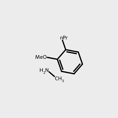 CCCc1ccccc1OC.CN